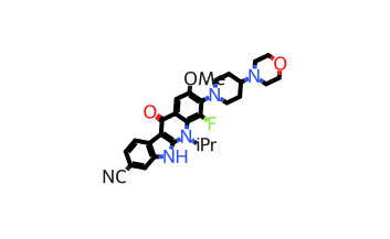 COc1cc2c(=O)c3c4ccc(C#N)cc4[nH]c3n(C(C)C)c2c(F)c1N1CCC(N2CCOCC2)CC1